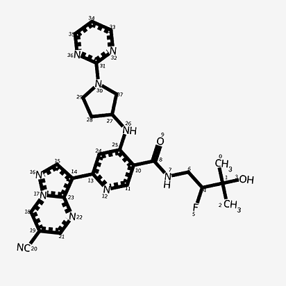 CC(C)(O)C(F)CNC(=O)c1cnc(-c2cnn3cc(C#N)cnc23)cc1NC1CCN(c2ncccn2)C1